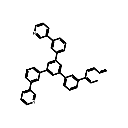 C=C/C=C\C(=C/C)c1cccc(-c2cc(-c3cccc(-c4cccnc4)c3)cc(-c3cccc(-c4cccnc4)c3)c2)c1